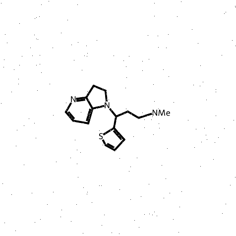 CNCCC(c1cccs1)N1CCc2ncccc21